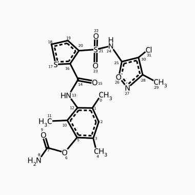 Cc1cc(C)c(OC(N)=O)c(C)c1NC(=O)c1sccc1S(=O)(=O)Nc1onc(C)c1Cl